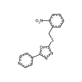 O=[N+]([O-])c1ccccc1CSc1nnc(-c2ccncc2)o1